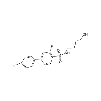 O=S(=O)(NCCCCO)c1ccc(-c2ccc(Cl)cc2)cc1F